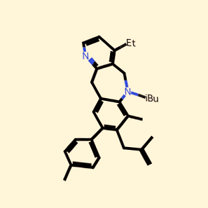 C=C(C)Cc1c(-c2ccc(C)cc2)cc2c(c1C)N(C(C)CC)Cc1c(CC)ccnc1C2